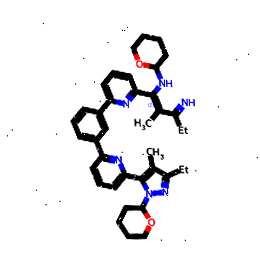 CCC(=N)/C(C)=C(\NC1CCCCO1)c1cccc(-c2cccc(-c3cccc(-c4c(C)c(CC)nn4C4CCCCO4)n3)c2)n1